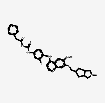 COc1cc2c(Nc3ccc(NC(=S)NC(=O)Cc4ccccc4)cc3F)ccnc2cc1OCC1CC2CN(C)CC2C1